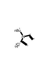 C=CN(C=C)CCCC.[Cl-].[H+]